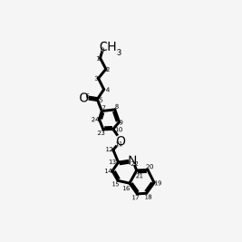 CCCCCC(=O)c1ccc(OCc2ccc3ccccc3n2)cc1